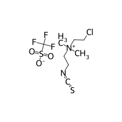 C[N+](C)(CCCl)CCN=C=S.O=S(=O)([O-])C(F)(F)F